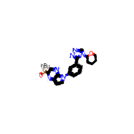 CCCC[S+]([O-])c1cnc2c(ccn2-c2cccc(-c3nncn3C3CCCCO3)c2)n1